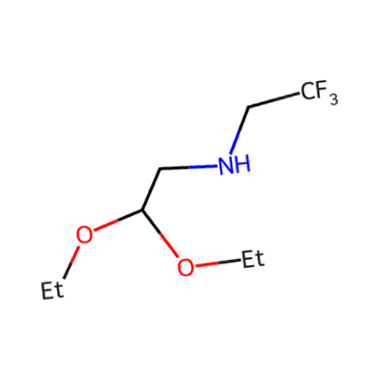 CCOC(CNCC(F)(F)F)OCC